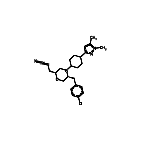 Cc1cc(C2CCC(N3C[C@H](CN=[N+]=[N-])OC[C@@H]3Cc3ccc(Cl)cc3)CC2)nn1C